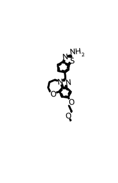 COCCOc1cc2c3c(c1)nc(-c1ccc4nc(N)sc4c1)n3CCCCO2